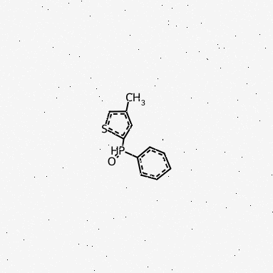 Cc1csc([PH](=O)c2ccccc2)c1